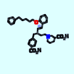 O=C(O)c1ccc(CC(/C=C/c2ccccc2OCCCCCc2ccccc2)CCN2CCCC(C(=O)O)C2)cc1